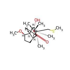 CO[C@@H]1CC[C@@]23CC[C@@H](C)[C@@](C)([C@H](O)C[C@@](C)(CSC)C(=O)[C@@H]2C)[C@@H]13